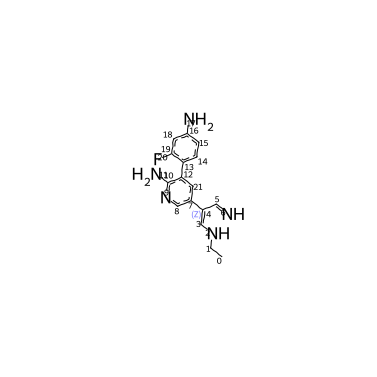 CCN/C=C(\C=N)c1cnc(N)c(-c2ccc(N)cc2F)c1